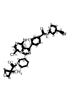 CC1(C(=O)N2CCC[C@@H](c3nc(-c4ccc(C(=O)Nc5cc(C#N)ccn5)cc4)c4c(N)ncc(Cl)n34)C2)COC1